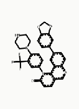 O=c1ccc2cnc3ccc(-c4ccc5c(c4)OCO5)cc3c2n1-c1ccc(N2CCNCC2)c(C(F)(F)F)c1